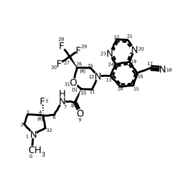 CN1CC[C@@](F)(CNC(=O)[C@@H]2CN(c3ccc(C#N)c4nccnc34)C[C@H](C(F)(F)F)O2)C1